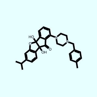 Cc1ccc(CN2CCN(c3cccc4c3C(=O)C3(O)c5ccc(C(C)C)cc5OC43O)CC2)cc1